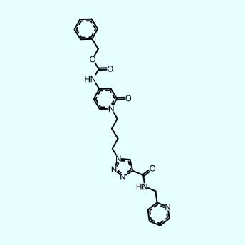 O=C(Nc1ccn(CCCCn2cc(C(=O)NCc3ccccn3)nn2)c(=O)c1)OCc1ccccc1